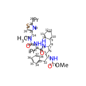 COC(=O)N[C@H](CC[C@H](Cc1ccccc1)NC(=O)[C@@H](NC(=O)N(C)Cc1csc(C(C)C)n1)C(C)C)Cc1ccccc1